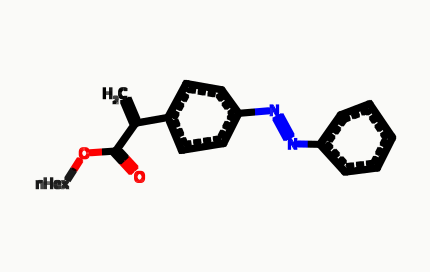 C=C(C(=O)OCCCCCC)c1ccc(/N=N/c2ccccc2)cc1